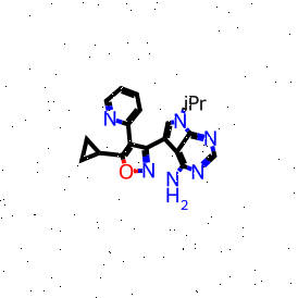 CC(C)n1cc(-c2noc(C3CC3)c2-c2ccccn2)c2c(N)ncnc21